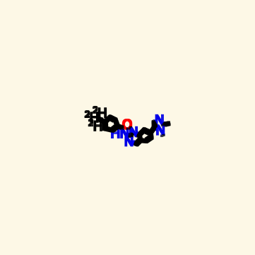 [2H]C([2H])([2H])c1ccc(C(=O)Nc2ncc3ccc(-c4cnc(C)n4C)cc3n2)cc1